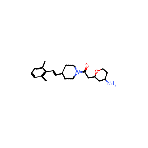 Cc1cccc(C)c1C=CC1CCN(C(=O)CC2CC(N)CCO2)CC1